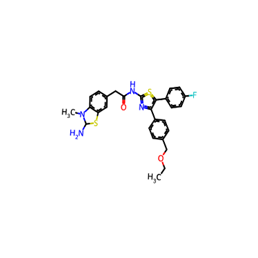 CCOCc1ccc(-c2nc(NC(=O)Cc3ccc4c(c3)SC(N)N4C)sc2-c2ccc(F)cc2)cc1